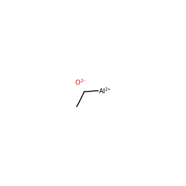 C[CH2][Al+2].[O-2]